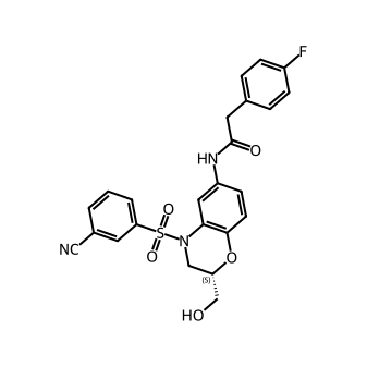 N#Cc1cccc(S(=O)(=O)N2C[C@@H](CO)Oc3ccc(NC(=O)Cc4ccc(F)cc4)cc32)c1